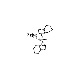 C[Si](C)([c-]1ccc2c1CCCC2)[c-]1ccc2c1CCCC2.[CH3-].[CH3-].[Zr+4]